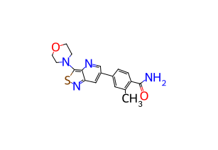 Cc1cc(-c2cnc3c(N4CCOCC4)snc3c2)ccc1C(N)=O